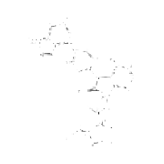 Cc1cccc2c1n(-c1ccc(-c3cncc4c3cnn4C)cc1)c(=O)n2CC(=O)N1CCC[C@H]1CF